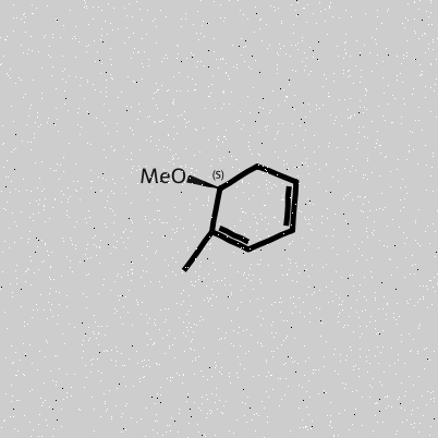 CO[C@H]1CC=CC=C1C